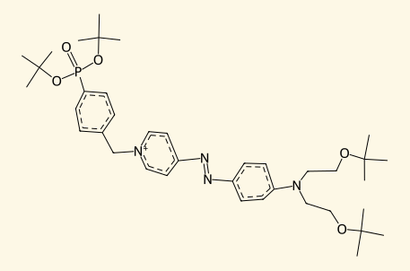 CC(C)(C)OCCN(CCOC(C)(C)C)c1ccc(/N=N/c2cc[n+](Cc3ccc(P(=O)(OC(C)(C)C)OC(C)(C)C)cc3)cc2)cc1